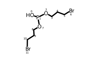 OP(OCCCBr)OCCCBr